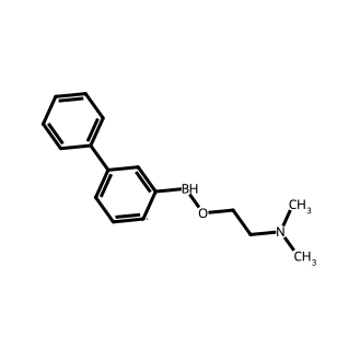 CN(C)CCOBc1[c]ccc(-c2ccccc2)c1